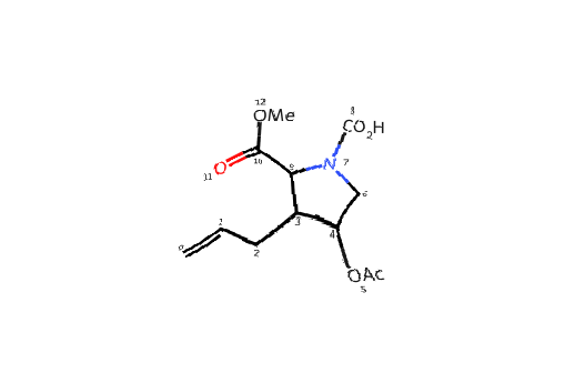 C=CCC1C(OC(C)=O)CN(C(=O)O)C1C(=O)OC